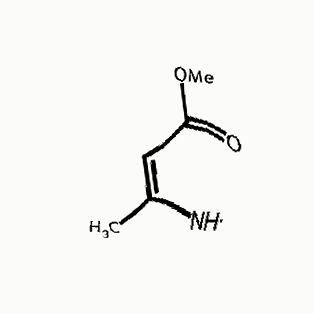 COC(=O)C=C(C)[NH]